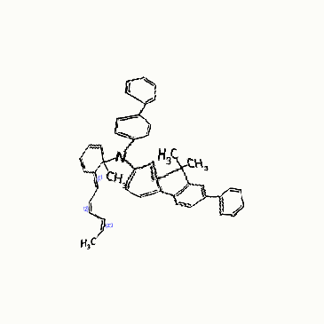 C\C=C/C=C\C=C1/C=CC=CC1(C)N(c1ccc(-c2ccccc2)cc1)c1ccc2c(c1)C(C)(C)c1cc(-c3ccccc3)ccc1-2